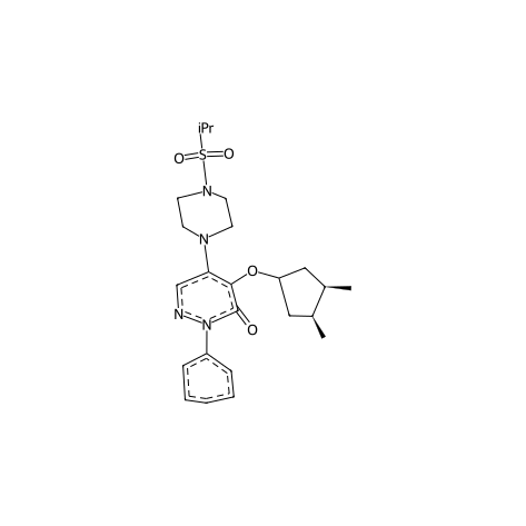 CC(C)S(=O)(=O)N1CCN(c2cnn(-c3ccccc3)c(=O)c2OC2C[C@@H](C)[C@@H](C)C2)CC1